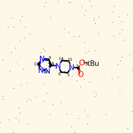 CC(C)(C)OC(=O)N1CCN(c2cncnn2)CC1